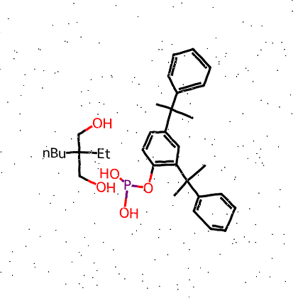 CC(C)(c1ccccc1)c1ccc(OP(O)O)c(C(C)(C)c2ccccc2)c1.CCCCC(CC)(CO)CO